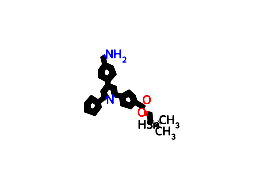 [CH3][SnH]([CH3])[CH2]COC(=O)c1ccc(-c2cc(-c3ccc(CN)cc3)cc(-c3ccccc3)n2)cc1